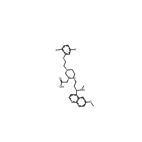 CNC(CC[C@@H]1CCN(CCSc2cc(F)ccc2F)C[C@@H]1CC(=O)O)c1ccnc2ccc(OC)cc12